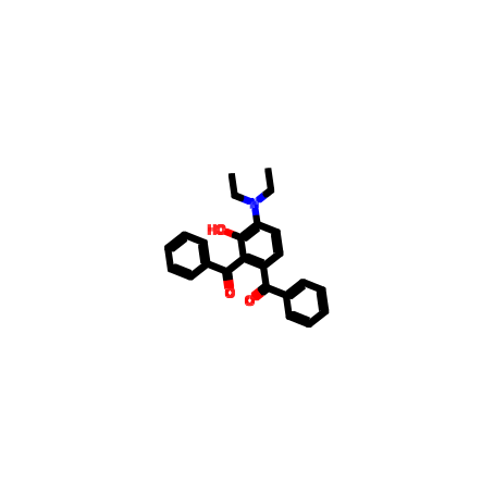 CCN(CC)c1ccc(C(=O)c2ccccc2)c(C(=O)c2ccccc2)c1O